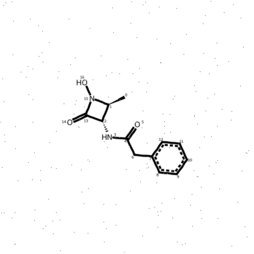 C[C@H]1[C@H](NC(=O)Cc2ccccc2)C(=O)N1O